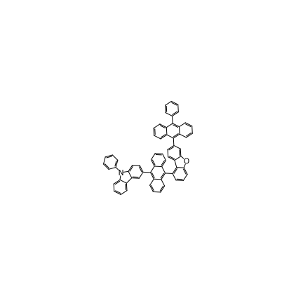 c1ccc(-c2c3ccccc3c(-c3ccc4c(c3)oc3cccc(-c5c6ccccc6c(-c6ccc7c(c6)c6ccccc6n7-c6ccccc6)c6ccccc56)c34)c3ccccc23)cc1